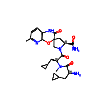 Cc1ccc2c(n1)OC1(C[C@@H](C(N)=O)N(C(=O)[C@H](CC3CC3)N(C)C(=O)[C@@H](N)CC3CC3)C1)C(=O)N2